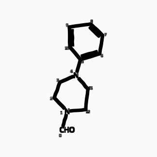 O=CN1CCN(c2ccccc2)CC1